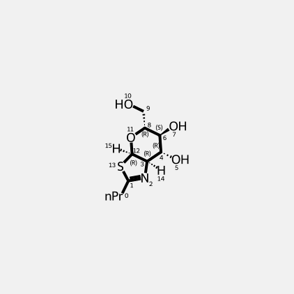 CCCC1=N[C@@H]2[C@@H](O)[C@H](O)[C@@H](CO)O[C@@H]2S1